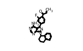 C=CC(=O)c1ccc(-c2nn(C3CCCc4ccccc43)c3ncnc(N)c23)cc1F